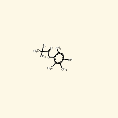 CCC(C)(C)C(=O)Oc1c(C)cc(O)c(C)c1C